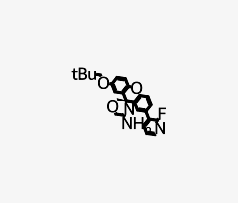 CC(C)(C)COc1ccc2c(c1)[C@]1(COCC(N)=N1)c1cc(-c3cccnc3F)ccc1O2